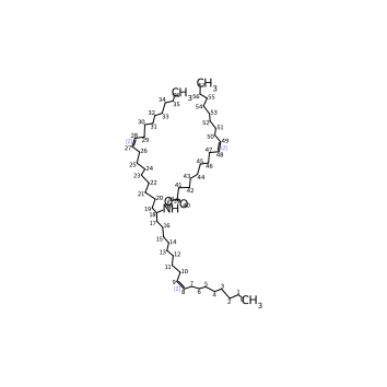 CCCCCCCC/C=C\CCCCCCCCC(CCCCCCCC/C=C\CCCCCCCC)NOC(=O)CCCCCCC/C=C\CCCCCCCC